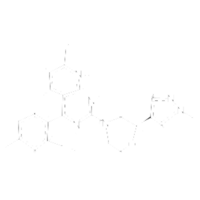 Cc1ccc(-c2nc(N3CCO[C@H](c4cnn(C)c4)C3)nc3nc(C)ccc23)c(F)c1